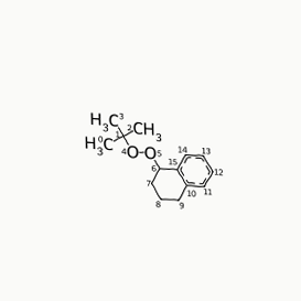 CC(C)(C)OOC1CCCc2ccccc21